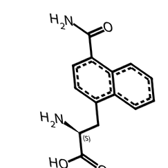 NC(=O)c1ccc(C[C@H](N)C(=O)O)c2ccccc12